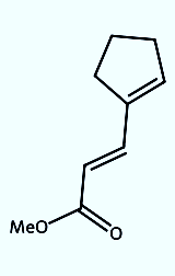 COC(=O)/C=C/C1=CCCC1